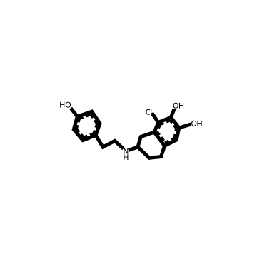 Oc1ccc(CCNC2CCc3cc(O)c(O)c(Cl)c3C2)cc1